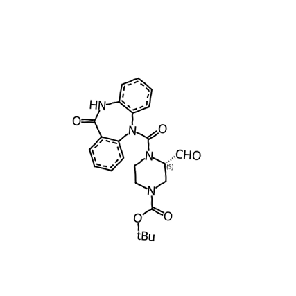 CC(C)(C)OC(=O)N1CCN(C(=O)N2c3ccccc3NC(=O)c3ccccc32)[C@H](C=O)C1